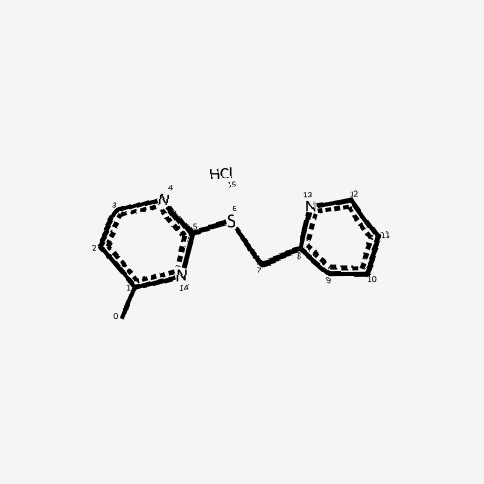 Cc1ccnc(SCc2ccccn2)n1.Cl